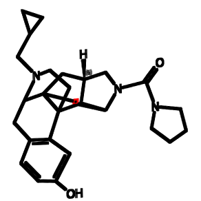 O=C(N1CCCC1)N1C[C@H]2CC34CCC1C2C31CCN(CC2CC2)C4Cc2ccc(O)cc21